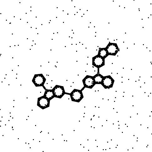 c1ccc(-n2c3ccccc3c3cc(-c4cccc(-c5ccc6c(c5)c5ccccc5n6-c5ccc6sc7ccncc7c6c5)c4)ccc32)cc1